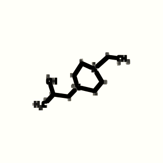 [CH2]C(O)CN1CCN(CC)CC1